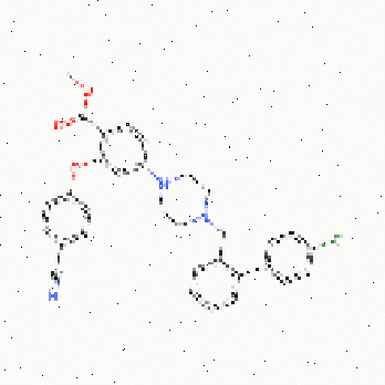 COC(=O)c1ccc(N2CCN(Cc3ccccc3-c3ccc(Cl)cc3)CC2)cc1Oc1ccc(C#N)cc1